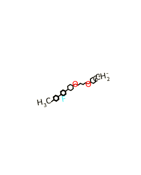 [CH2-][C+]1CCC(OCCCCOC2CCC(c3ccc(-c4ccc(CC)cc4)c(F)c3)CC2)CC1